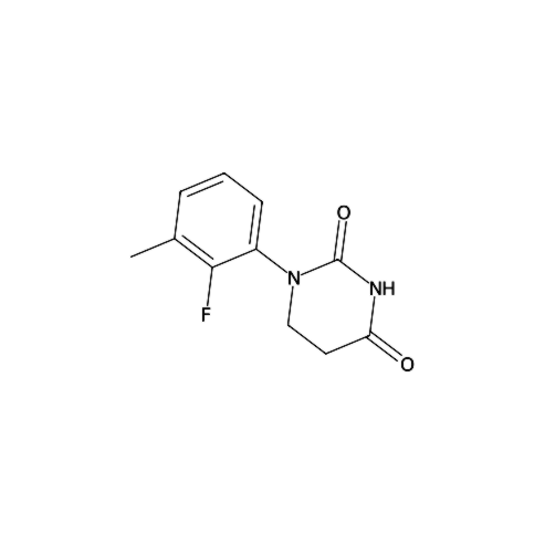 Cc1cccc(N2CCC(=O)NC2=O)c1F